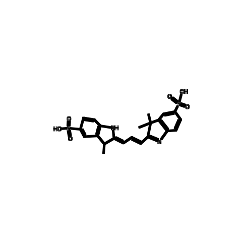 CC1C(=CC=CC2=Nc3ccc(S(=O)(=O)O)cc3C2(C)C)Nc2ccc(S(=O)(=O)O)cc21